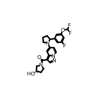 O=C(c1cnn2ccc(N3CCCC3c3cc(F)cc(OC(F)F)c3)cc12)N1CC[C@H](O)C1